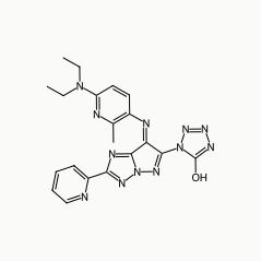 CCN(CC)c1ccc(/N=C2/C(n3nnnc3O)=Nn3nc(-c4ccccn4)nc32)c(C)n1